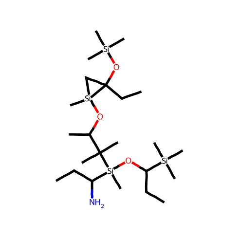 CCC(O[Si](C)(C(N)CC)C(C)(C)C(C)O[Si]1(C)CC1(CC)O[Si](C)(C)C)[Si](C)(C)C